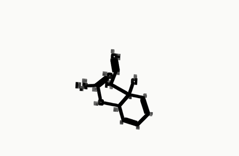 C#CC(I)C1(Cl)C=CC=CC1OC(N)=O